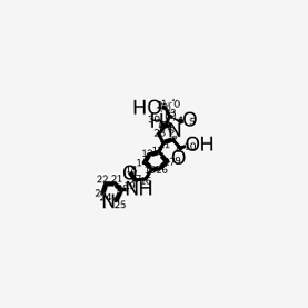 C[C@@H](O)[C@H]1C(=O)N2C(C(=O)O)=C(c3ccc(CC(=O)Nc4cccnc4)cc3)C[C@H]12